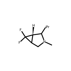 CC(C)C1[C@@H]2C(CN1C)C2(F)F